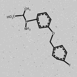 CC(C(=O)O)N(N)c1cccc(OCc2ccc(F)cc2)c1